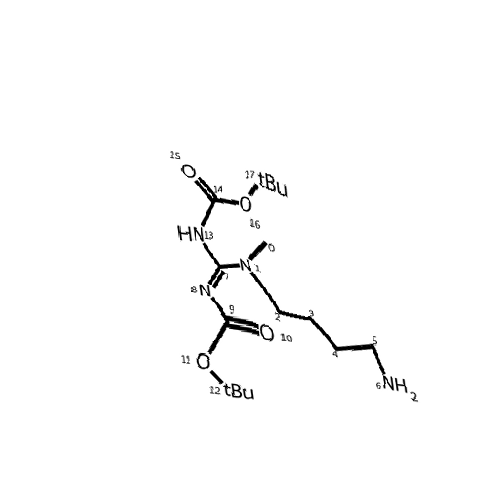 CN(CCCCN)C(=NC(=O)OC(C)(C)C)NC(=O)OC(C)(C)C